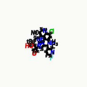 Cc1nc(F)ccc1[C@H](Nc1cc(Cl)c2ncc(C#N)c(NCC(C)(C)C)c2c1)c1cn(C2(CO)COC2)nn1